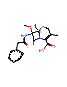 COC1(NC(=O)Cc2ccccc2)C(=O)N2C(C(=O)O)=C(C)CS[C@H]21